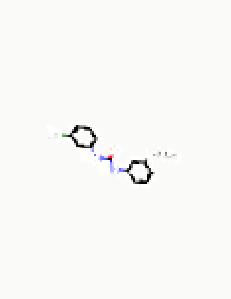 CSc1cccc(NC(=O)Nc2cccc(Br)c2)c1